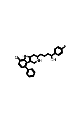 OC(CCCC1Cc2[nH]c3c(Cl)ccc(-c4ccccc4)c3c2CN1)c1ccc(F)cc1